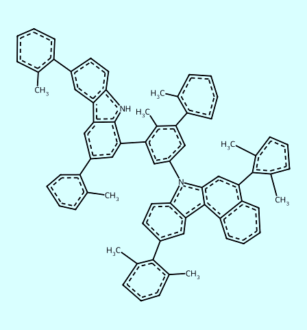 Cc1ccccc1-c1ccc2[nH]c3c(-c4cc(-n5c6ccc(-c7c(C)cccc7C)cc6c6c7ccccc7c(-c7c(C)cccc7C)cc65)cc(-c5ccccc5C)c4C)cc(-c4ccccc4C)cc3c2c1